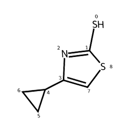 Sc1nc(C2CC2)cs1